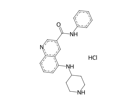 Cl.O=C(Nc1ccccc1)c1cnc2cccc(NC3CCNCC3)c2c1